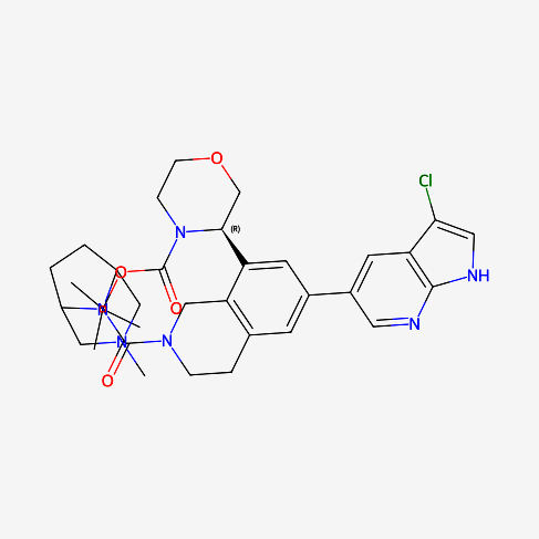 CN1CC2CCC(C1)N2C(=O)N1CCc2cc(-c3cnc4[nH]cc(Cl)c4c3)cc([C@@H]3COCCN3C(=O)OC(C)(C)C)c2C1